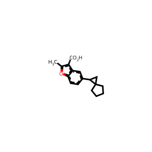 Cc1oc2ccc(C3CC34CCCC4)cc2c1C(=O)O